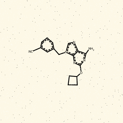 N#Cc1cccc(Cn2cnc3c(N)nc(OC4CCC4)nc32)c1